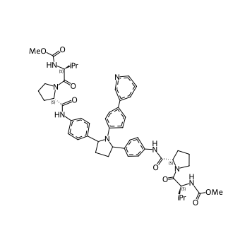 COC(=O)N[C@H](C(=O)N1CCC[C@H]1C(=O)Nc1ccc(C2CCC(c3ccc(NC(=O)[C@@H]4CCCN4C(=O)[C@@H](NC(=O)OC)C(C)C)cc3)N2c2ccc(-c3cccnc3)cc2)cc1)C(C)C